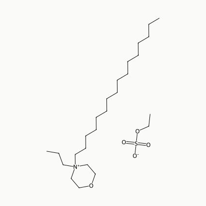 CCCCCCCCCCCCCCCC[N+]1(CCC)CCOCC1.CCOS(=O)(=O)[O-]